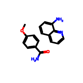 COc1ccc(C(N)=O)cc1.Nc1cccc2cccnc12